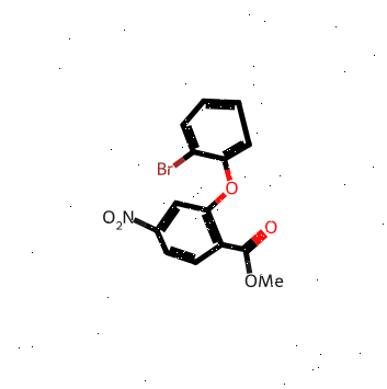 COC(=O)c1ccc([N+](=O)[O-])cc1Oc1ccccc1Br